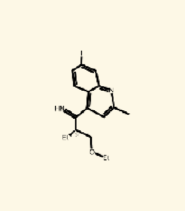 CCOC[C@@H](CC)C(=N)c1cc(C)nc2cc(I)ccc12